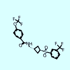 O=C(NC[C@H]1C[C@H](S(=O)(=O)c2cccc(C(F)(F)F)c2)C1)c1ccc(OC(F)(F)F)cc1